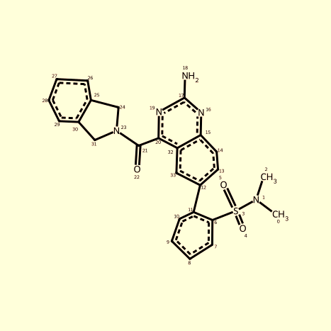 CN(C)S(=O)(=O)c1ccccc1-c1ccc2nc(N)nc(C(=O)N3Cc4ccccc4C3)c2c1